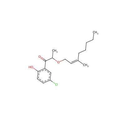 CCCCCC(C)=CCOC(C)C(=O)c1cc(Cl)ccc1O